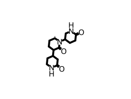 O=C1CCC(N2[CH]CCC(C3CCNC(=O)C3)C2=O)CN1